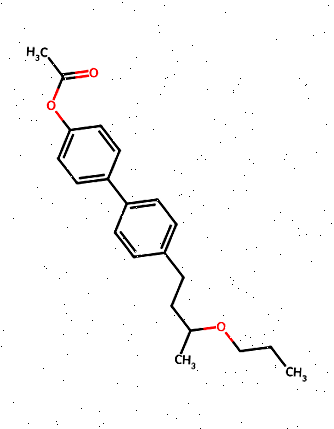 CCCOC(C)CCc1ccc(-c2ccc(OC(C)=O)cc2)cc1